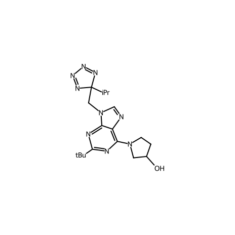 CC(C)C1(Cn2cnc3c(N4CCC(O)C4)nc(C(C)(C)C)nc32)N=NN=N1